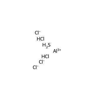 Cl.Cl.S.[Al+3].[Cl-].[Cl-].[Cl-]